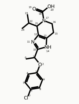 CC(Oc1ccc(Cl)cc1)c1nc2c([nH]1)CCN(C(=O)O)C2C(C)C